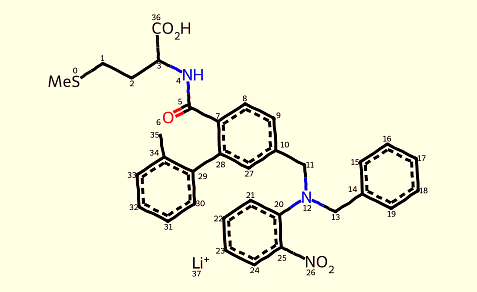 CSCCC(NC(=O)c1ccc(CN(Cc2ccccc2)c2ccccc2[N+](=O)[O-])cc1-c1ccccc1C)C(=O)O.[Li+]